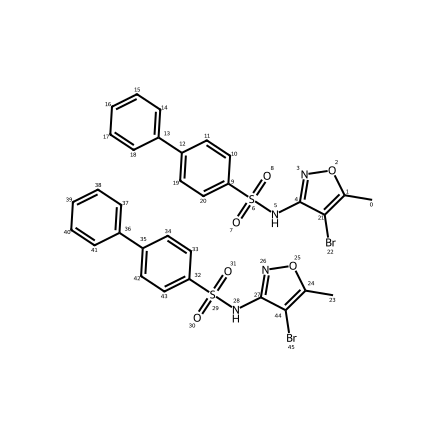 Cc1onc(NS(=O)(=O)c2ccc(-c3ccccc3)cc2)c1Br.Cc1onc(NS(=O)(=O)c2ccc(-c3ccccc3)cc2)c1Br